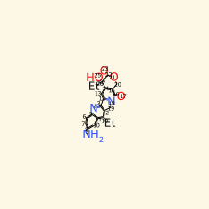 CCc1c2c(nc3ccc(N)cc13)-c1cc3c(c(=O)n1C2)COC(=O)[C@]3(O)CC